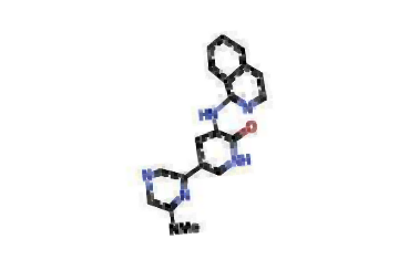 CNc1cncc(-c2c[nH]c(=O)c(Nc3nccc4ccccc34)c2)n1